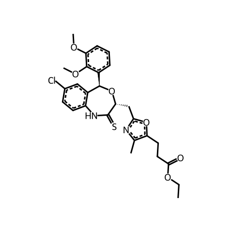 CCOC(=O)CCc1oc(C[C@H]2O[C@H](c3cccc(OC)c3OC)c3cc(Cl)ccc3NC2=S)nc1C